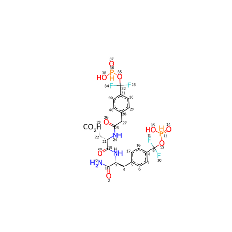 NC(=O)[C@H](Cc1ccc(C(F)(F)O[PH](=O)O)cc1)NC(=O)[C@H](CC(=O)O)NC(=O)Cc1ccc(C(F)(F)O[PH](=O)O)cc1